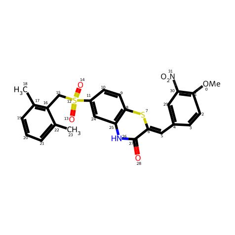 COc1ccc(/C=C2\Sc3ccc(S(=O)(=O)Cc4c(C)cccc4C)cc3NC2=O)cc1[N+](=O)[O-]